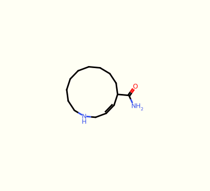 NC(=O)C1C=CCNCCCCCCCCC1